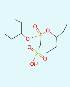 CCC(CC)OP(=O)(CS(=O)(=O)O)OC(CC)CC